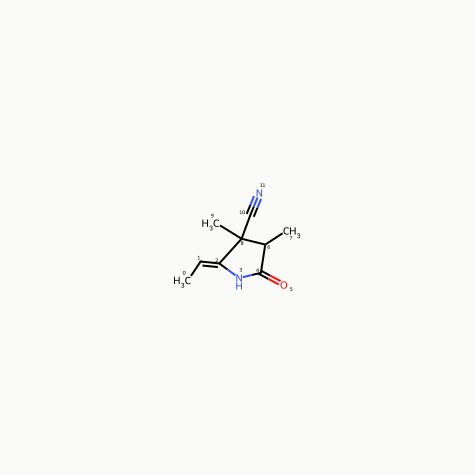 C/C=C1\NC(=O)C(C)C1(C)C#N